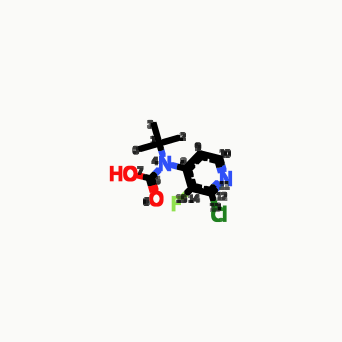 CC(C)(C)N(C(=O)O)c1ccnc(Cl)c1F